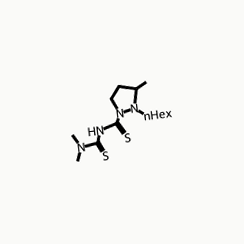 CCCCCCN1C(C)CCN1C(=S)NC(=S)N(C)C